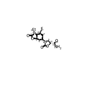 CCn1c(=O)oc2cc(N3C[C@H](C(N)=O)OC3=O)cc(F)c21